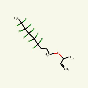 C=CC(C)O[SiH2]CCC(F)(F)C(F)(F)C(F)(F)C(F)(F)C(F)(F)C(F)(F)F